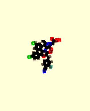 CCC[C@H](C(=O)NCC(=O)O)N1C(=O)[C@H](Cc2ccc(C#N)c(F)c2)O[C@@H](c2ccc(Cl)cc2)[C@H]1c1ccc(Cl)cc1